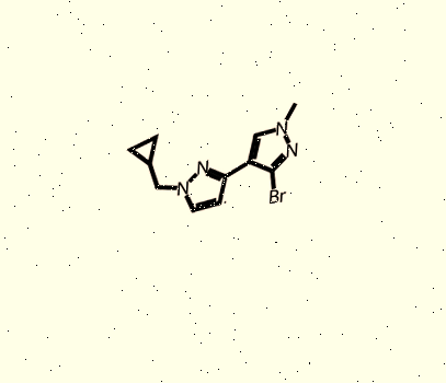 Cn1cc(-c2[c]cn(CC3CC3)n2)c(Br)n1